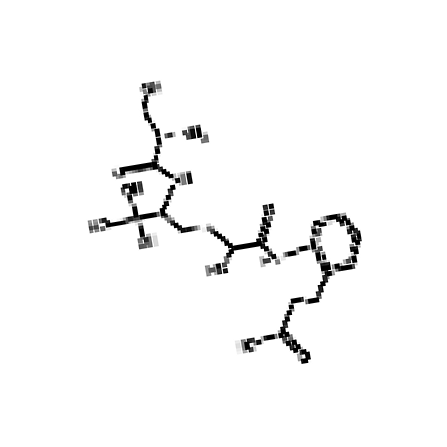 N[C@@H](CO)C(=O)NC(CCC(O)C(=O)Nc1ccccc1CCC(=O)O)C(O)(O)O